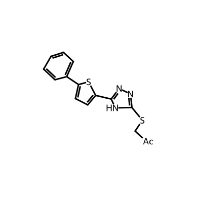 CC(=O)CSc1nnc(-c2ccc(-c3ccccc3)s2)[nH]1